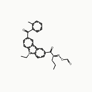 CCC/C(=N\OC=O)C(=O)c1ccc2c(c1)c1cc(C(=O)c3ccccc3C)ccc1n2CC